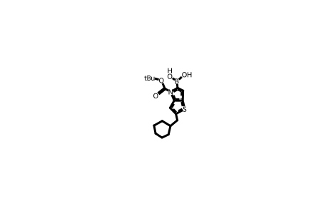 CC(C)(C)OC(=O)n1c(B(O)O)cc2sc(CC3CCCCC3)cc21